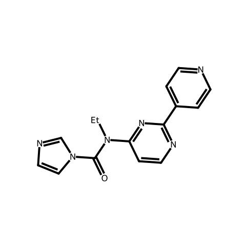 CCN(C(=O)n1ccnc1)c1ccnc(-c2ccncc2)n1